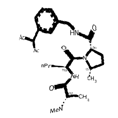 CCC[C@H](NC(=O)[C@H](C)NC)C(=O)N1[C@@H](C)CC[C@H]1C(=O)NCc1cccc(C(C(C)=O)C(C)=O)c1